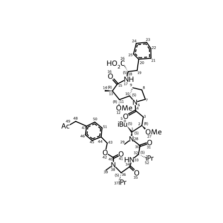 CC[C@H](C)[C@@H]([C@@H](CC(=O)N1CCC[C@H]1[C@H](OC)[C@@H](C)C(=O)N[C@@H](Cc1ccccc1)C(=O)O)OC)N(C)C(=O)[C@@H](NC(=O)[C@H](C(C)C)N(C)C(=O)OCc1ccc(CC(C)=O)cc1)C(C)C